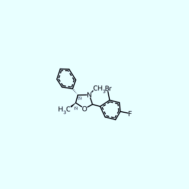 C[C@@H]1OC(c2ccc(F)cc2Br)N(C)[C@H]1c1ccccc1